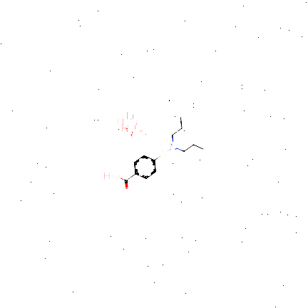 CCCN(CCC)S(=O)(=O)c1ccc(C(=O)O)cc1.O.O.O.[Er]